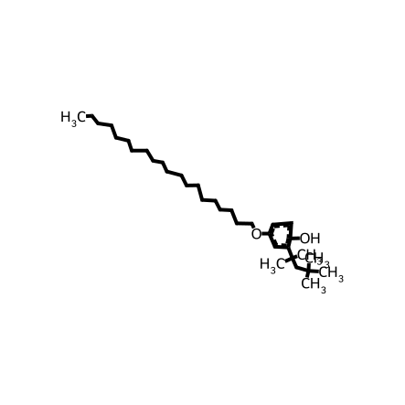 CCCCCCCCCCCCCCCCCCCCOc1ccc(O)c(C(C)(C)CC(C)(C)C)c1